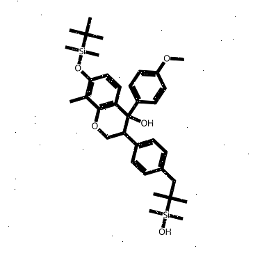 COc1ccc(C2(O)c3ccc(O[Si](C)(C)C(C)(C)C)c(C)c3OCC2c2ccc(CC(C)(C)[Si](C)(C)O)cc2)cc1